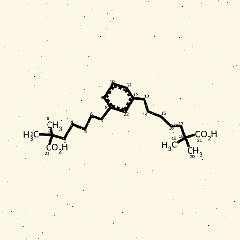 CC(C)(CCCCCc1cccc(CCCCCC(C)(C)C(=O)O)c1)C(=O)O